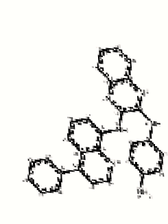 Bc1ccc(Nc2nc3ccccc3nc2Nc2cccc3c(-c4ccccc4)ccnc23)cc1